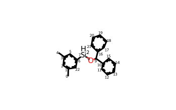 Cc1cc(C)cc([SiH2]OC(c2ccccc2)c2ccccc2)c1